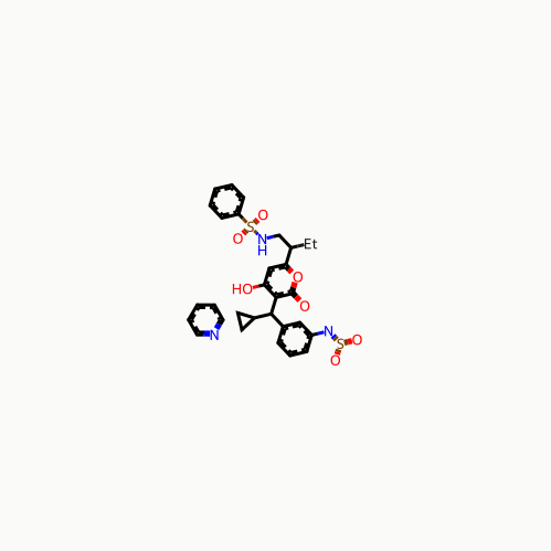 CCC(CNS(=O)(=O)c1ccccc1)c1cc(O)c(C(c2cccc(N=S(=O)=O)c2)C2CC2)c(=O)o1.c1ccncc1